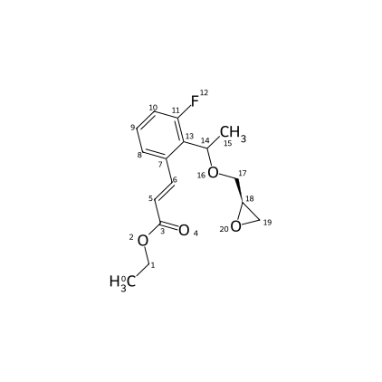 CCOC(=O)/C=C/c1cccc(F)c1C(C)OC[C@H]1CO1